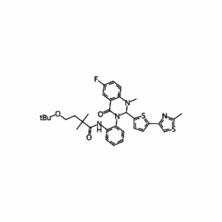 Cc1nc(-c2ccc(C3N(C)c4ccc(F)cc4C(=O)N3c3ccccc3NC(=O)C(C)(C)CCOC(C)(C)C)s2)cs1